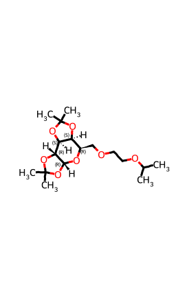 CC(C)OCCOC[C@H]1O[C@@H]2OC(C)(C)O[C@@H]2[C@H]2OC(C)(C)O[C@H]21